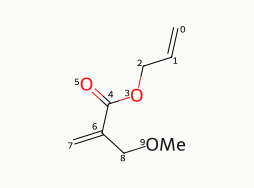 C=CCOC(=O)C(=C)COC